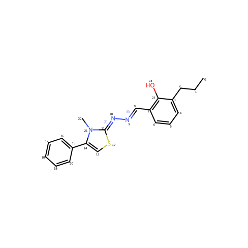 CCCc1cccc(/C=N/N=c2\scc(-c3ccccc3)n2C)c1O